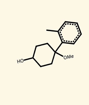 COC1(c2ccccc2C)CCC(O)CC1